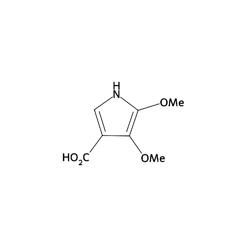 COc1[nH]cc(C(=O)O)c1OC